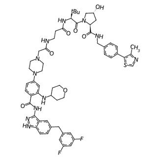 Cc1ncsc1-c1ccc(CNC(=O)[C@@H]2C[C@@H](O)CN2C(=O)[C@@H](NC(=O)CCNC(=O)CN2CCN(c3ccc(C(=O)Nc4n[nH]c5ccc(Cc6cc(F)cc(F)c6)cc45)c(NC4CCOCC4)c3)CC2)C(C)(C)C)cc1